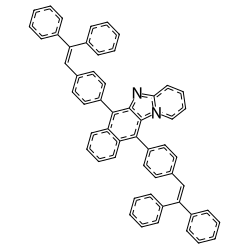 C(=C(c1ccccc1)c1ccccc1)c1ccc(-c2c3ccccc3c(-c3ccc(C=C(c4ccccc4)c4ccccc4)cc3)c3c2nc2ccccn23)cc1